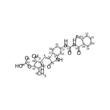 Cc1[nH]c(/C=C2\C(=O)Nc3cc(NC(=O)NC(=O)c4ccccc4F)ccc32)c(C)c1OC(=O)O